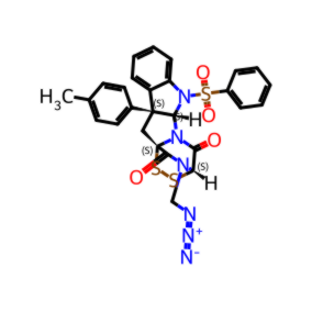 Cc1ccc([C@]23C[C@@]45SS[C@@H](C(=O)N4[C@H]2N(S(=O)(=O)c2ccccc2)c2ccccc23)N(CN=[N+]=[N-])C5=O)cc1